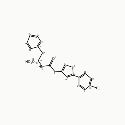 O=C(Cc1csc(-c2ccc(F)cc2)n1)N[C@@H](Cc1ccccc1)C(=O)O